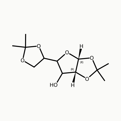 CC1(C)OCC(C2O[C@@H]3OC(C)(C)O[C@@H]3C2O)O1